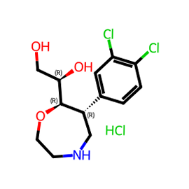 Cl.OC[C@@H](O)[C@@H]1OCCNC[C@H]1c1ccc(Cl)c(Cl)c1